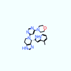 Cc1cccn2nc([C@@H]3c4nc[nH]c4CCN3c3cc(N4CCOCC4)ncn3)cc12